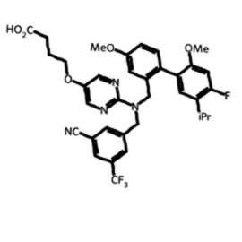 COc1ccc(-c2cc(C(C)C)c(F)cc2OC)c(CN(Cc2cc(C#N)cc(C(F)(F)F)c2)c2ncc(OCCCC(=O)O)cn2)c1